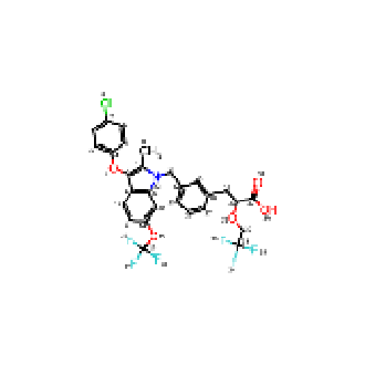 Cc1c(Oc2ccc(Cl)cc2)c2ccc(OC(F)(F)F)cc2n1Cc1cccc(CC(OCC(F)(F)F)C(=O)O)c1